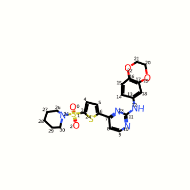 O=S(=O)(c1ccc(-c2ccnc(Nc3ccc4c(c3)OCCO4)n2)s1)N1CCCCC1